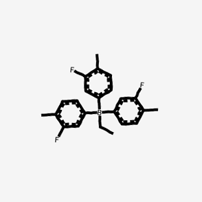 CC[B-](c1ccc(C)c(F)c1)(c1ccc(C)c(F)c1)c1ccc(C)c(F)c1